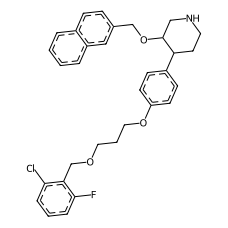 Fc1cccc(Cl)c1COCCCOc1ccc(C2CCNCC2OCc2ccc3ccccc3c2)cc1